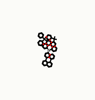 CC1(C)c2ccccc2-c2c(-c3ccccc3N(c3ccc(-c4cccc5cccc(-c6ccccc6)c45)cc3)c3ccccc3-c3ccc4c(c3)-c3ccccc3C4(C)c3ccccc3)cccc21